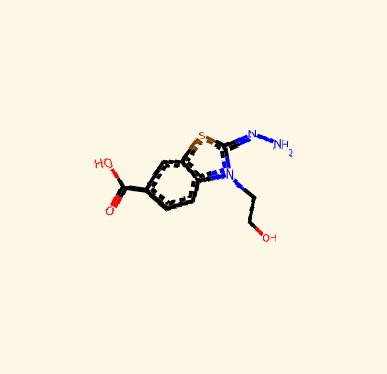 NN=c1sc2cc(C(=O)O)ccc2n1CCO